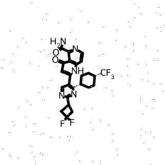 NC(=O)c1nccc2[nH]c(-c3cnc(C4CC(F)(F)C4)nc3[C@H]3CC[C@@H](C(F)(F)F)CC3)cc(=O)c12